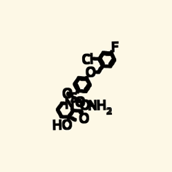 CC1(O)CCCN(S(=O)(=O)c2ccc(OCc3ccc(F)cc3Cl)cc2)C1C(=O)ON